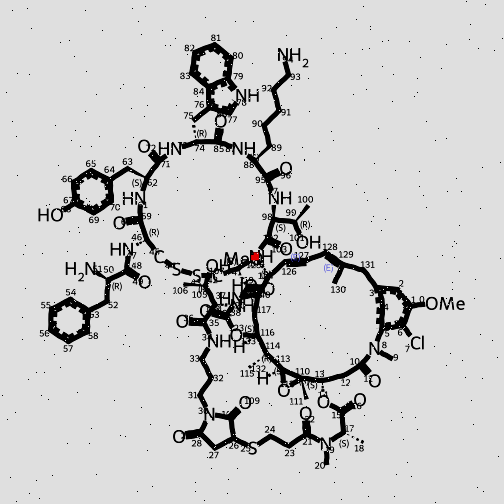 COc1cc2cc(c1Cl)N(C)C(=O)C[C@H](OC(=O)[C@H](C)N(C)C(=O)CCSC1CC(=O)N(CCCNC(=O)[C@@H](NC(=O)[C@@H]3CSSC[C@H](NC(=O)[C@H](N)Cc4ccccc4)C(=O)N[C@@H](Cc4ccc(O)cc4)C(=O)N[C@H](Cc4c[nH]c5ccccc45)C(=O)N[C@@H](CCCCCN)C(=O)N[C@@H]([C@@H](C)O)C(=O)N3)[C@@H](C)O)C1=O)[C@]1(C)O[C@H]1[C@H](C)[C@@H]1C[C@@](O)(NC(=O)O1)[C@H](OC)/C=C/C=C(\C)C2